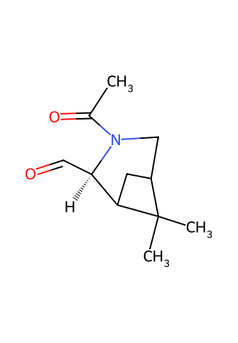 CC(=O)N1CC2CC([C@H]1C=O)C2(C)C